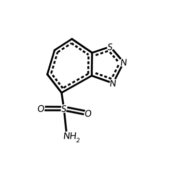 NS(=O)(=O)c1cccc2snnc12